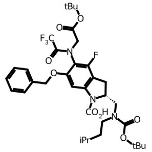 CC(C)CCN(C[C@H]1Cc2c(cc(OCc3ccccc3)c(N(CC(=O)OC(C)(C)C)C(=O)C(F)(F)F)c2F)N1C(=O)O)C(=O)OC(C)(C)C